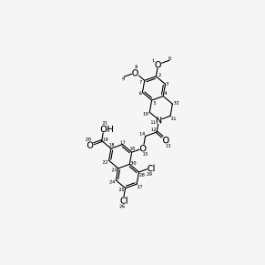 COc1cc2c(cc1OC)CN(C(=O)COc1cc(C(=O)O)cc3cc(Cl)cc(Cl)c13)CC2